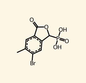 Cc1cc2c(cc1Br)C(P(=O)(O)O)OC2=O